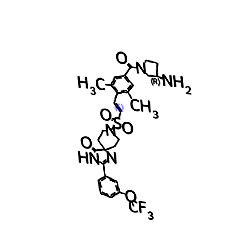 Cc1cc(C(=O)N2CC[C@@H](N)C2)cc(C)c1/C=C/S(=O)(=O)N1CCC2(CC1)N=C(c1cccc(OC(F)(F)F)c1)NC2=O